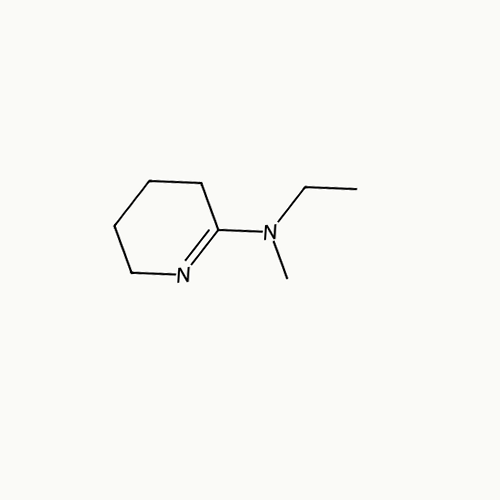 CCN(C)C1=NCCCC1